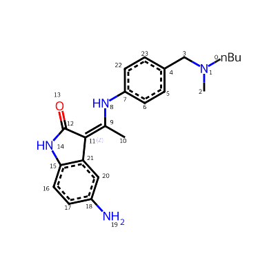 CCCCN(C)Cc1ccc(N/C(C)=C2\C(=O)Nc3ccc(N)cc32)cc1